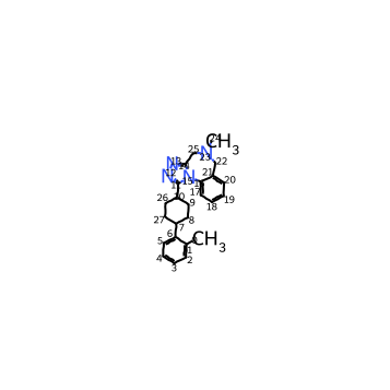 Cc1ccccc1C1CCC(c2nnc3n2-c2ccccc2CN(C)C3)CC1